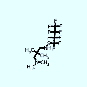 CN(C)CC(C)(C)CNSC(F)(F)C(F)(F)C(F)(F)C(F)(F)F